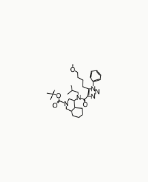 COCCCCc1c(C(=O)N(CC(C)C)C2CN(C(=O)OC(C)(C)C)CC3CCCCC32)nnn1-c1ccccc1